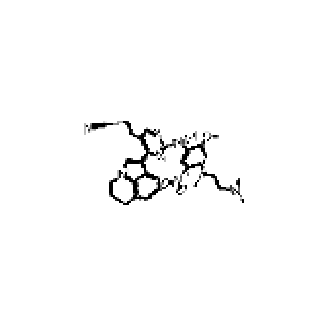 COc1cc(N(C)CCN(C)C)c([N+](=O)[O-])cc1Nc1ncc(C=CC#N)c(-c2cn3c4c(cccc24)CCC3)n1